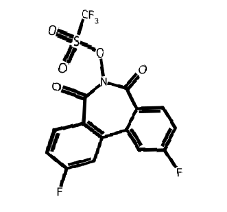 O=c1c2ccc(F)cc2c2cc(F)ccc2c(=O)n1OS(=O)(=O)C(F)(F)F